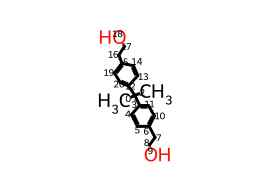 CC(C)(c1ccc(CCO)cc1)c1ccc(CCO)cc1